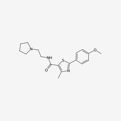 COc1ccc(-c2nc(C)c(C(=O)NCCN3CCCC3)s2)cc1